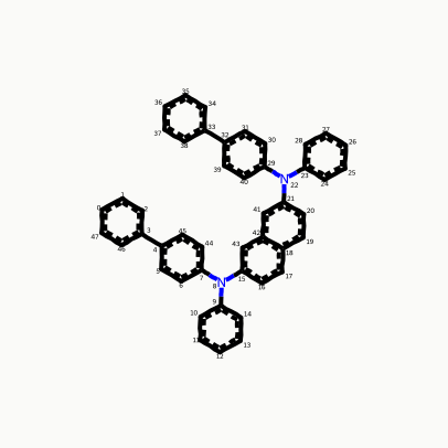 c1ccc(-c2ccc(N(c3ccccc3)c3ccc4ccc(N(c5ccccc5)c5ccc(-c6ccccc6)cc5)cc4c3)cc2)cc1